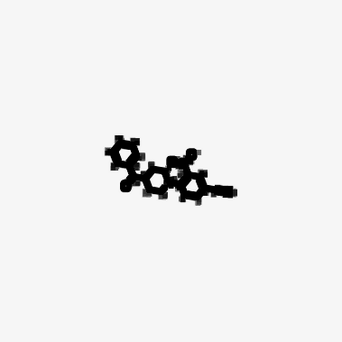 N#Cc1ccc(N2CCC(C(=O)c3ccccc3)CC2)c([N+](=O)[O-])c1